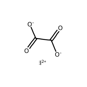 O=C([O-])C(=O)[O-].[I+2]